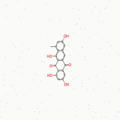 Cc1cc(O)cc2cc3c(c(O)c12)C(=O)c1c(O)cc(O)cc1C3=O